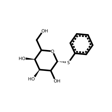 OCC1O[C@H](Sc2ccccc2)C(O)[C@@H](O)[C@H]1O